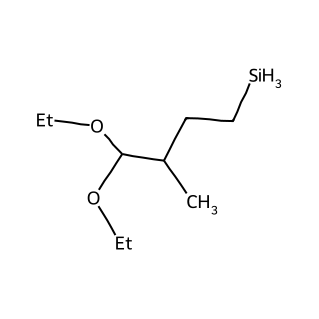 CCOC(OCC)C(C)CC[SiH3]